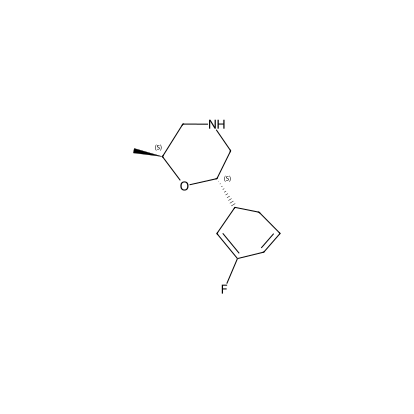 C[C@H]1CNC[C@H](C2C=C(F)C=CC2)O1